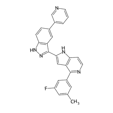 Cc1cc(F)cc(-c2nccc3[nH]c(-c4n[nH]c5ccc(-c6cccnc6)cc45)cc23)c1